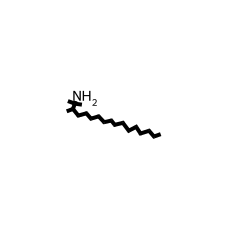 CCCCCCCCCCCCCCC(C)C(C)(C)N